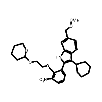 COOCc1ccc2c(C3CCCCC3)c(-c3cccc([N+](=O)[O-])c3OCCOC3CCCCO3)[nH]c2c1